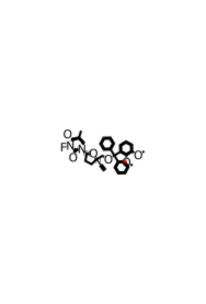 C#C[C@@]1(COC(c2ccccc2)(c2ccccc2)c2cccc(OC)c2OC)CC[C@H](n2cc(C)c(=O)n(F)c2=O)O1